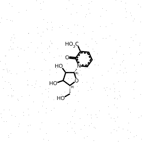 O=C(O)c1cccn([C@@H]2O[C@H](CO)C(O)C2O)c1=O